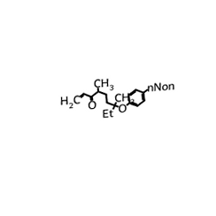 C=CC(=O)C(C)CCC(C)(CC)Oc1ccc(CCCCCCCCC)cc1